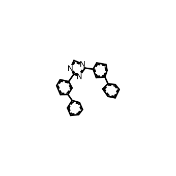 c1ccc(-c2cccc(-c3ncnc(-c4cccc(-c5ccccc5)c4)n3)c2)cc1